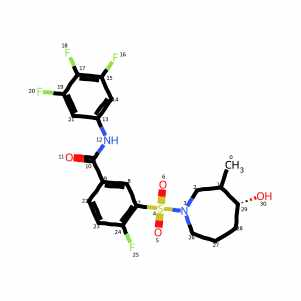 CC1CN(S(=O)(=O)c2cc(C(=O)Nc3cc(F)c(F)c(F)c3)ccc2F)CCC[C@H]1O